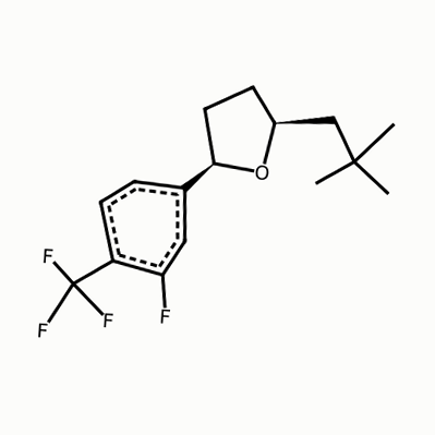 CC(C)(C)C[C@@H]1CC[C@H](c2ccc(C(F)(F)F)c(F)c2)O1